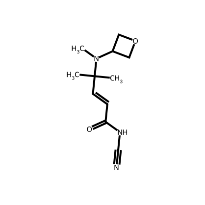 CN(C1COC1)C(C)(C)C=CC(=O)NC#N